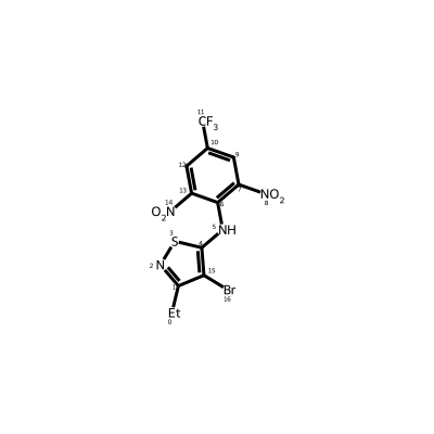 CCc1nsc(Nc2c([N+](=O)[O-])cc(C(F)(F)F)cc2[N+](=O)[O-])c1Br